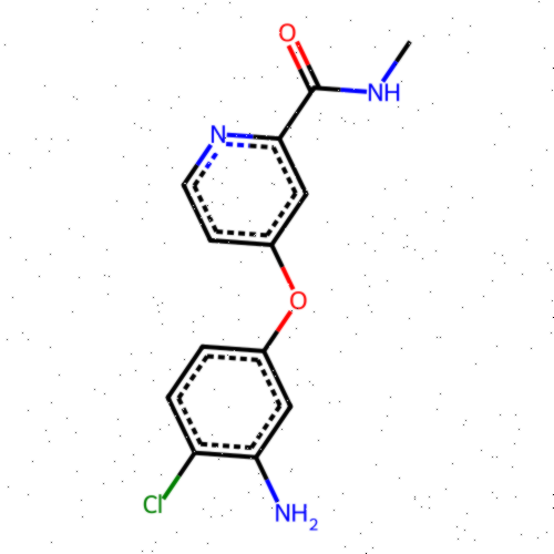 CNC(=O)c1cc(Oc2ccc(Cl)c(N)c2)ccn1